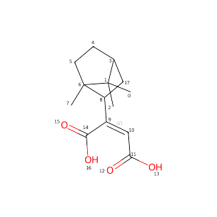 CC1(C)C2CCC1(C)C(/C(=C/C(=O)O)C(=O)O)C2